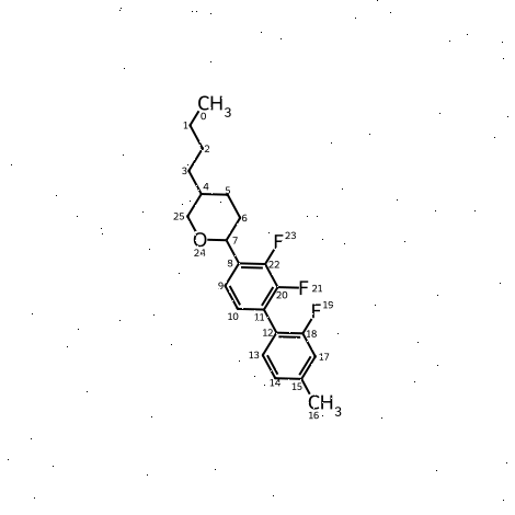 CCCCC1CCC(c2ccc(-c3ccc(C)cc3F)c(F)c2F)OC1